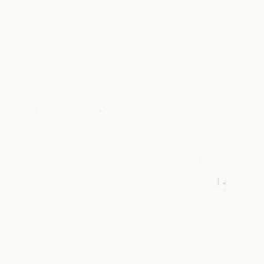 CC(O)C#Cc1ccc(Br)cc1